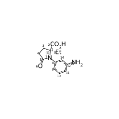 CC[C@@]1(C(=O)O)CCC(=O)N1c1cccc(N)c1